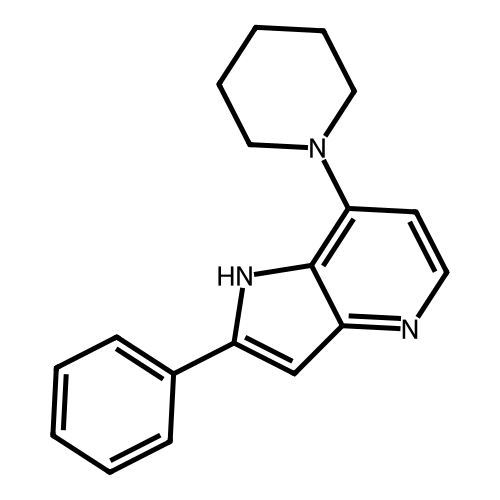 c1ccc(-c2cc3nccc(N4CCCCC4)c3[nH]2)cc1